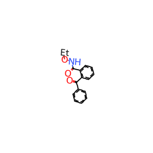 CCONC(=O)c1ccccc1C(=O)c1ccccc1